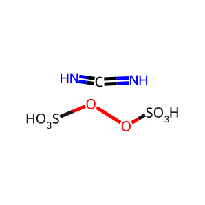 N=C=N.O=S(=O)(O)OOS(=O)(=O)O